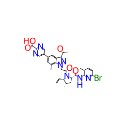 C=C[C@@H]1[C@@H](C)C[C@@H](C(=O)Nc2nc(Br)ccc2C)N1C(=O)Cn1nc(C(C)=O)c2cc(-c3cnc(C(=O)O)nc3)cc(C)c21